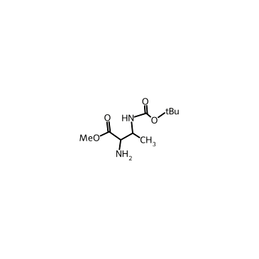 COC(=O)C(N)C(C)NC(=O)OC(C)(C)C